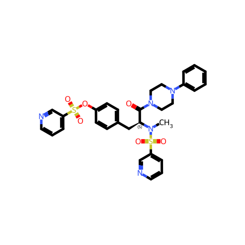 CN([C@@H](Cc1ccc(OS(=O)(=O)c2cccnc2)cc1)C(=O)N1CCN(c2ccccc2)CC1)S(=O)(=O)c1cccnc1